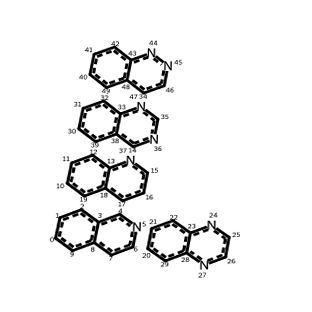 c1ccc2cnccc2c1.c1ccc2ncccc2c1.c1ccc2nccnc2c1.c1ccc2ncncc2c1.c1ccc2nnccc2c1